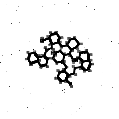 OC(C1CNCCN1Cc1cccc(F)c1CCc1cccc2ccccc12)C1CCCCN1Cc1cccc(Cl)c1CSc1cccc2ccccc12